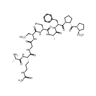 CC(C)C[C@H](NC(=O)[C@H](CC(=O)O)NC(=O)CNC(=O)[C@H](CCCNC(=N)N)NC(=O)[C@H](C)N)C(=O)N[C@@H](C)C(=O)N[C@@H](Cc1ccccc1)C(=O)N1CCC[C@@H]1C(=O)N1CCC[C@H]1C(=O)O